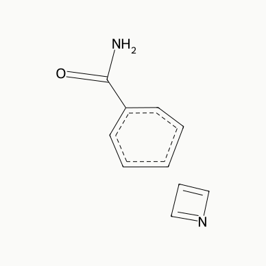 C1=CN=C1.NC(=O)c1ccccc1